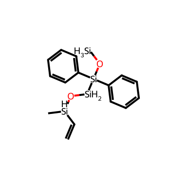 C=C[SiH](C)O[SiH2][Si](O[SiH3])(c1ccccc1)c1ccccc1